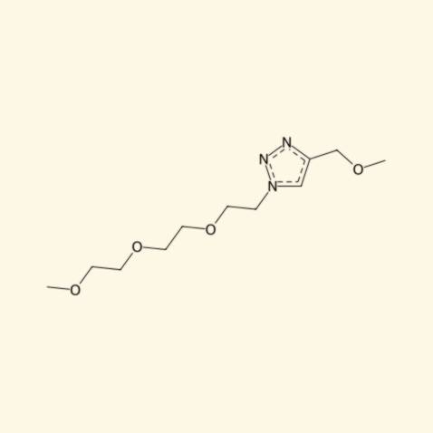 COCCOCCOCCn1cc(COC)nn1